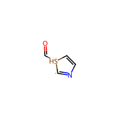 O=C[SH]1[C]=NC=C1